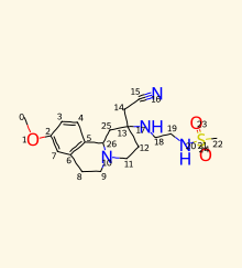 COc1ccc2c(c1)CCN1CCC(CC#N)(NCCNS(C)(=O)=O)CC21